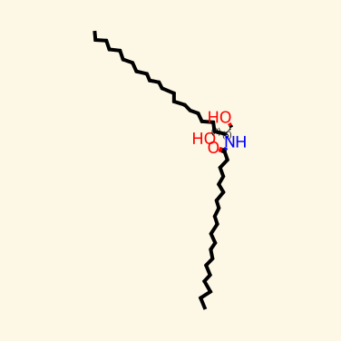 CCCCCCCCCCCCCCCCCCCC(=O)N[C@@H](CO)[C@H](O)CCCCCCCCCCCCCCCCCCC